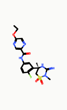 CCOc1cnc(C(=O)Nc2ccc(F)c([C@]3(C)CS(=O)(=O)N(C)C(=N)N3)c2)cn1